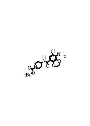 CC(C)(C)OC(=O)N1CCC(NC(=O)c2cc(Cl)c(N)c3c2OCCO3)CC1